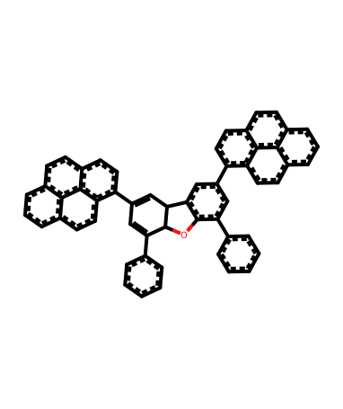 C1=C(c2ccc3ccc4cccc5ccc2c3c45)C=C(c2ccccc2)C2Oc3c(-c4ccccc4)cc(-c4ccc5ccc6cccc7ccc4c5c67)cc3C12